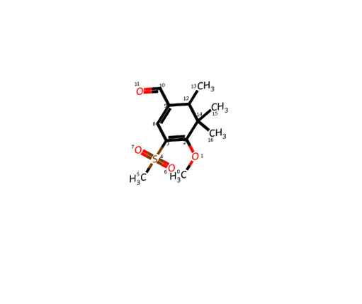 COC1=C(S(C)(=O)=O)C=C(C=O)C(C)C1(C)C